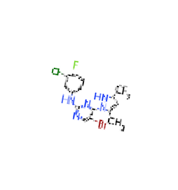 CC1=CC(C(F)(F)F)NN1c1nc(Nc2ccc(F)c(Cl)c2)ncc1Br